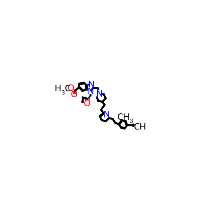 C#Cc1ccc(CCC2=NC(CCC3CCN(Cc4nc5ccc(C(=O)OC)cc5n4C[C@@H]4CCO4)CC3)=CCC2)c(C)c1